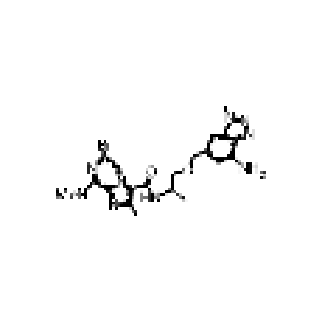 CNc1nc(Br)cn2c(C(=O)N[C@H](C)COCc3cc(N)c4nnn(C)c4c3)c(C)nc12